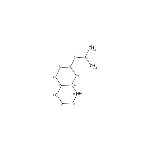 CC(C)CC1CCC2OCCNC2C1